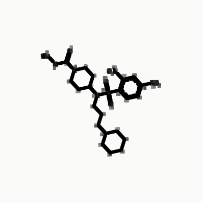 CC(C)(C)OC(=O)N1CCC(N(CCCC2CCCCC2)S(=O)(=O)c2ccc([N+](=O)[O-])cc2[N+](=O)[O-])CC1